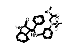 CN(C)C(=O)CN(c1cccc(NC(=C2C(=O)Nc3ccccc32)c2ccccc2)c1)S(C)(=O)=O